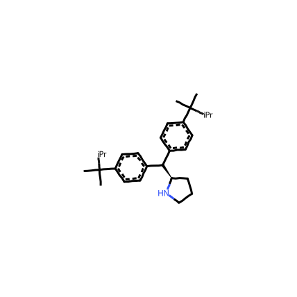 CC(C)C(C)(C)c1ccc(C(c2ccc(C(C)(C)C(C)C)cc2)[C@H]2CCCN2)cc1